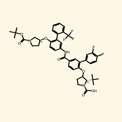 CC(C)(C)OC(=O)N1CC[C@H](Oc2ccc(NC(=O)c3ccc(OC4CCN(C(=O)O)[C@H]4C(C)(C)C)c(-c4ccc(F)c(F)c4)c3)cc2-c2ccccc2C(F)(F)F)C1